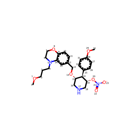 COCCCN1CCOc2ccc(CO[C@H]3CNC[C@@H](O[N+](=O)[O-])[C@@H]3c3ccc(OC)cc3)cc21